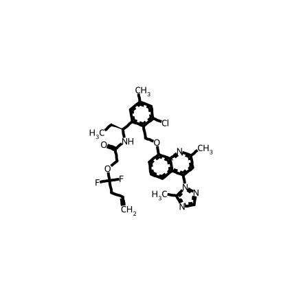 C=CCC(F)(F)OCC(=O)N[C@@H](CC)c1cc(C)cc(Cl)c1COc1cccc2c(-n3ncnc3C)cc(C)nc12